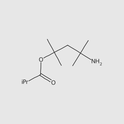 CC(C)C(=O)OC(C)(C)CC(C)(C)N